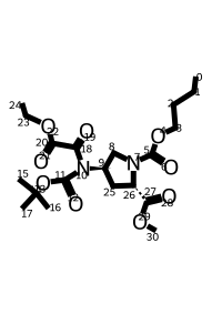 CCCCOC(=O)N1C[C@H](N(C(=O)OC(C)(C)C)C(=O)C(=O)OCC)C[C@H]1C(=O)OC